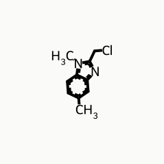 Cc1ccc2c(c1)nc(CCl)n2C